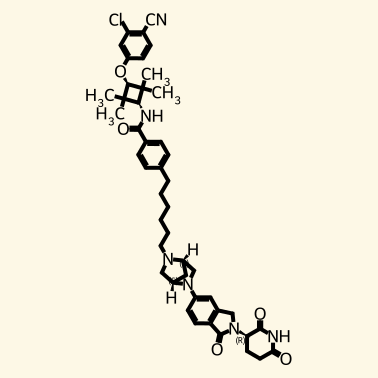 CC1(C)[C@H](NC(=O)c2ccc(CCCCCCN3C[C@@H]4C[C@H]3CN4c3ccc4c(c3)CN([C@@H]3CCC(=O)NC3=O)C4=O)cc2)C(C)(C)[C@H]1Oc1ccc(C#N)c(Cl)c1